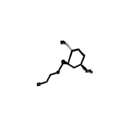 CC(C)[C@@H]1CC[C@@H](C)C[C@H]1OOCCCl